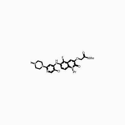 CNC(=O)COc1cc2c(F)c(Nc3cc(N4CCN(I)CC4)ncc3Cl)ccc2n(C(C)C)c1=O